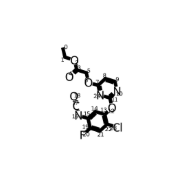 CCOC(=O)COc1ccnc(Oc2cc(N=C=O)c(F)cc2Cl)n1